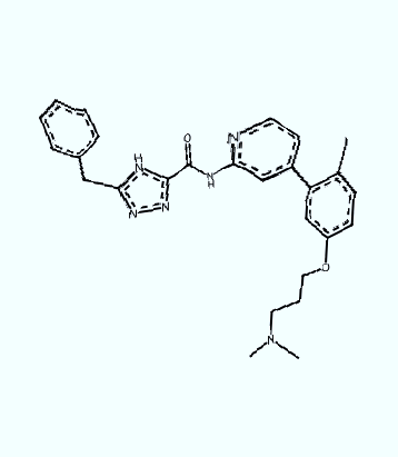 Cc1ccc(OCCCN(C)C)cc1-c1ccnc(NC(=O)c2nnc(Cc3ccccc3)[nH]2)c1